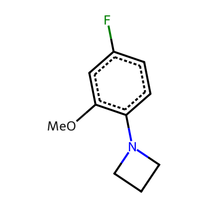 COc1cc(F)ccc1N1CCC1